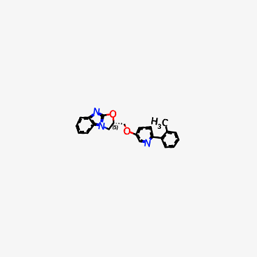 Cc1ccccc1-c1ccc(OC[C@@H]2Cn3c(nc4ccccc43)O2)cn1